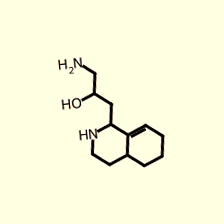 NCC(O)CC1NCCC2CCCC=C21